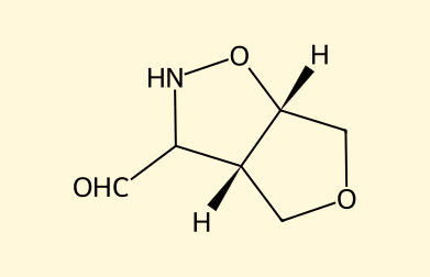 O=CC1NO[C@@H]2COC[C@H]12